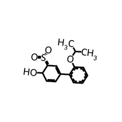 CC(C)Oc1ccccc1C1=CC(=S(=O)=O)C(O)C=C1